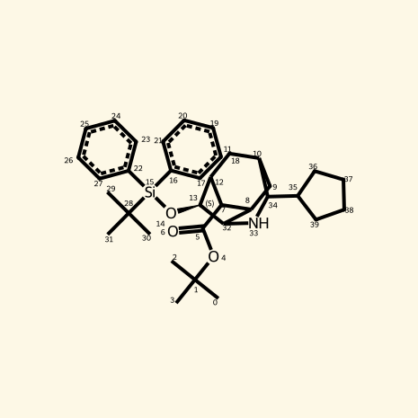 CC(C)(C)OC(=O)C1C2CC3CC1[C@H](O[Si](c1ccccc1)(c1ccccc1)C(C)(C)C)C2NC3C1CCCC1